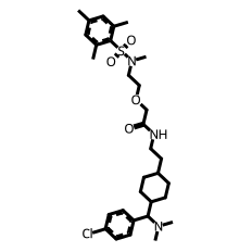 Cc1cc(C)c(S(=O)(=O)N(C)CCOCC(=O)NCCC2CCC(C(c3ccc(Cl)cc3)N(C)C)CC2)c(C)c1